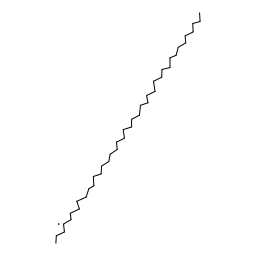 CCC[CH]CCCCCCCCCCCCCCCCCCCCCCCCCCCCCCCCCCCC